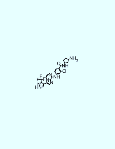 N[C@@H]1CC[C@@H](NC(=O)c2ccc(Nc3nccn4c(-c5c[nH]nc5C(F)(F)F)cnc34)cc2Cl)C1